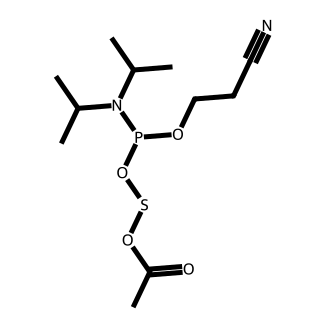 CC(=O)OSOP(OCCC#N)N(C(C)C)C(C)C